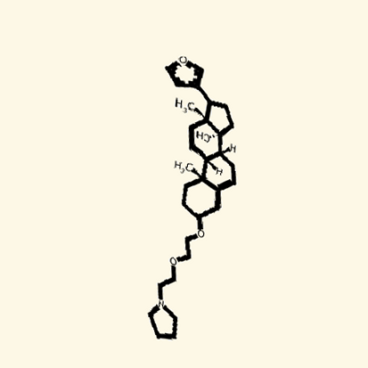 C[C@]12CCC(OCCOCCN3CCCC3)CC1=CC[C@@H]1[C@H]2CC[C@]2(C)C(c3ccoc3)CC[C@@]12O